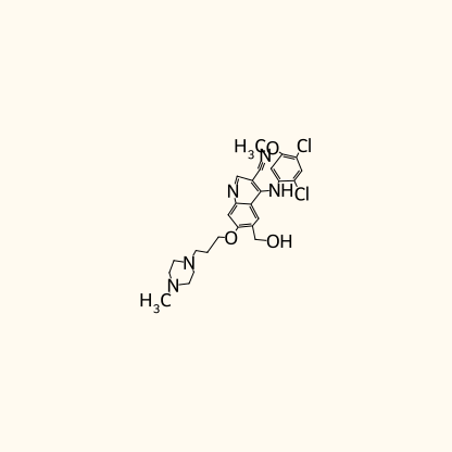 COc1cc(Nc2c(C#N)cnc3cc(OCCCN4CCN(C)CC4)c(CO)cc23)c(Cl)cc1Cl